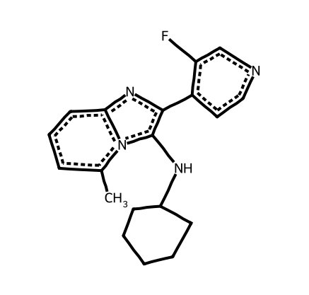 Cc1cccc2nc(-c3ccncc3F)c(NC3CCCCC3)n12